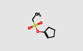 CCS(=O)(=O)OC1=CCCC1